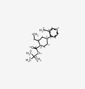 CCC1CN(c2ccncc2N)CCN1C(=O)OC(C)(C)C